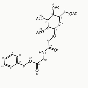 CC(=O)OCC1OC(OCC(=O)NCC(=O)OCc2ccccc2)C(OC(C)=O)C(OC(C)=O)C1OC(C)=O